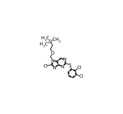 C[Si](C)(C)CCOCn1c(Cl)nc2nc(Sc3cccc(Cl)c3Cl)ncc21